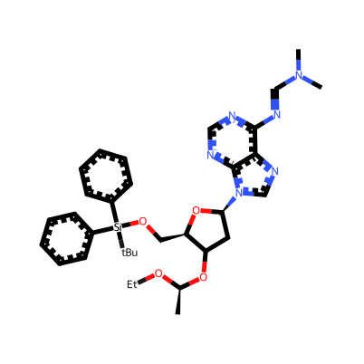 CCO[C@H](C)OC1C[C@H](n2cnc3c(/N=C/N(C)C)ncnc32)O[C@@H]1CO[Si](c1ccccc1)(c1ccccc1)C(C)(C)C